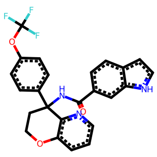 O=C(NC1(c2ccc(OC(F)(F)F)cc2)CCOc2cccnc21)c1ccc2cc[nH]c2c1